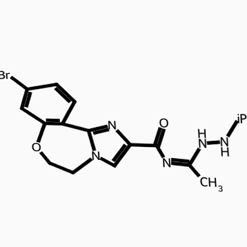 C/C(=N/C(=O)c1cn2c(n1)-c1ccc(Br)cc1OCC2)NNC(C)C